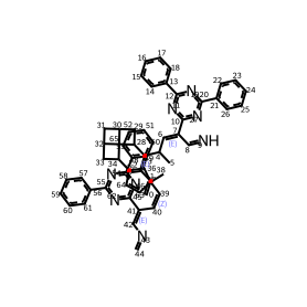 C=C/C=C(\C(C)/C=C(\C=N)c1nc(-c2ccccc2)nc(-c2ccccc2)n1)C1CC2CC3CC(C4=CC(C)(/C=C\C(=C/N=C)c5nc(-c6ccccc6)nc(-c6ccccc6)n5)C=C4)C321